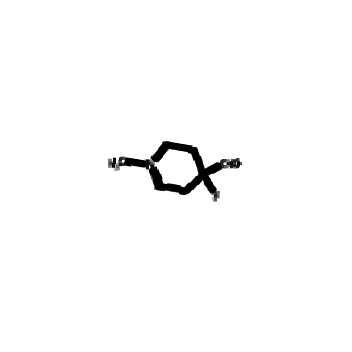 CN1CCC(F)([C]=O)CC1